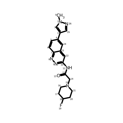 Cn1cc(-c2ccc3nnc(NC(=O)CN4CCC(F)CC4)cc3c2)cn1